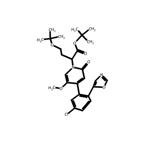 COc1cn(C(CCOC(C)(C)C)C(=O)OC(C)(C)C)c(=O)cc1-c1cc(Cl)ccc1-c1cnco1